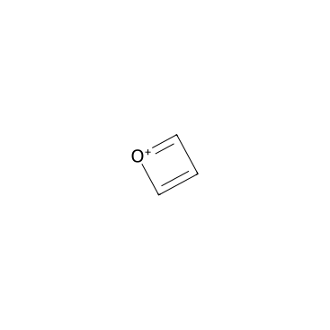 C1=C[O+]=C1